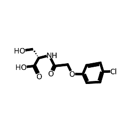 O=C(COc1ccc(Cl)cc1)N[C@@H](CO)C(=O)O